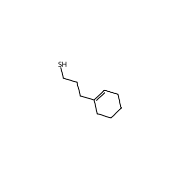 SCCCC1=CCCCC1